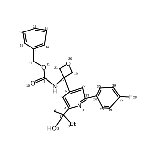 CCC(C)(O)c1cc(C2(NC(=O)OCc3ccccc3)COC2)cc(-c2ccc(F)cc2)n1